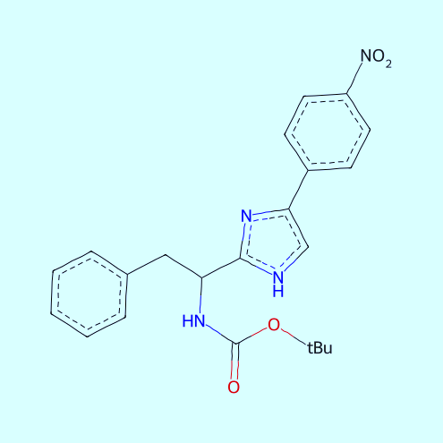 CC(C)(C)OC(=O)NC(Cc1ccccc1)c1nc(-c2ccc([N+](=O)[O-])cc2)c[nH]1